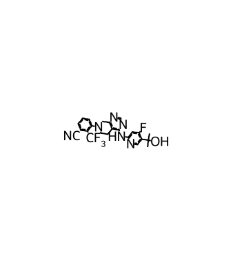 CC(C)(O)c1cnc(Nc2ncnc3c2CCN(c2cccc(C#N)c2C(F)(F)F)C3)cc1F